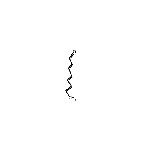 CC=CC=C/C=C/C=O